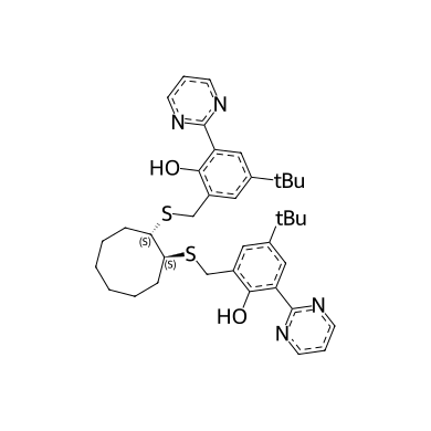 CC(C)(C)c1cc(CS[C@H]2CCCCCC[C@@H]2SCc2cc(C(C)(C)C)cc(-c3ncccn3)c2O)c(O)c(-c2ncccn2)c1